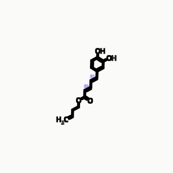 C=CCCOC(=O)/C=C/C=C/c1ccc(O)c(O)c1